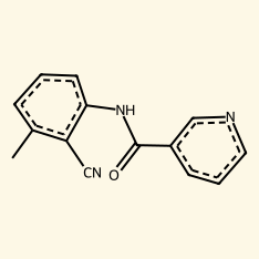 Cc1cccc(NC(=O)c2cccnc2)c1C#N